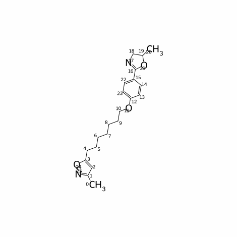 Cc1cc(CCCCCCCOc2ccc(C3=NCC(C)O3)cc2)on1